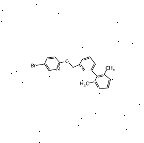 Cc1cccc(C)c1-c1cccc(COc2ccc(Br)cn2)c1